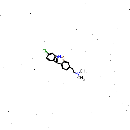 CN(C)CCc1ccc2c(c1)Sn1cc-2c2ccc(Cl)cc21